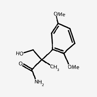 COc1ccc(OC)c(C(C)(CO)C(N)=O)c1